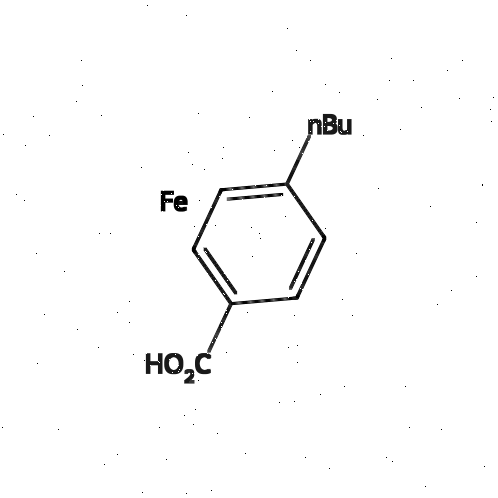 CCCCc1ccc(C(=O)O)cc1.[Fe]